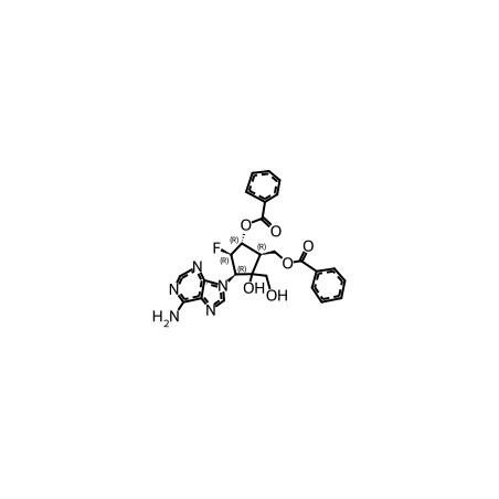 Nc1ncnc2c1ncn2[C@H]1[C@@H](F)[C@H](OC(=O)c2ccccc2)[C@@H](COC(=O)c2ccccc2)C1(O)CO